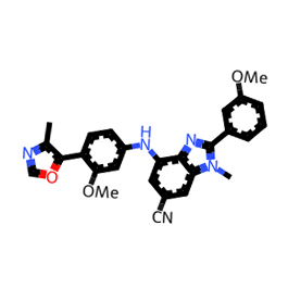 COc1cccc(-c2nc3c(Nc4ccc(-c5ocnc5C)c(OC)c4)cc(C#N)cc3n2C)c1